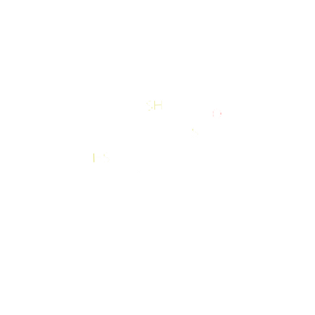 [O-][S+]1C=CC=C(S)C1S